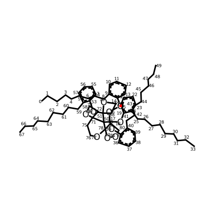 CCCCCCCCCc1ccccc1OOC(Oc1ccccc1CCCCCCCCC)(Oc1ccccc1CCCCCCCCC)C1(C2(Oc3ccccc3CCCCCCCCC)CCO2)C2(CCO2)CCOC12CCOO2